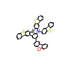 c1ccc2c(c1)oc1ccc(-c3cc4c5c(c3)N(c3ccc6sc7ccccc7c6c3)c3cc6c(cc3B5c3cc5sc7ccccc7c5cc3-4)sc3ccccc36)cc12